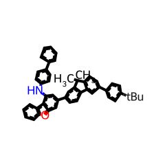 CC(C)(C)c1ccc(-c2ccc3c(c2)-c2ccc(-c4cc(Nc5ccc(-c6ccccc6)cc5)c5c(c4)oc4ccccc45)cc2C3(C)C)cc1